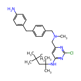 CN(Cc1ccc(Cc2ccc(N)cc2)cc1)Cc1cc(NC(C)(C)CC(C)(C)C)nc(Cl)n1